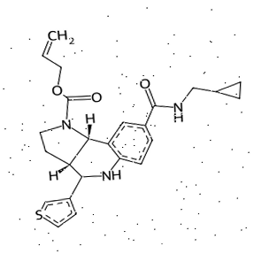 C=CCOC(=O)N1CC[C@H]2C(c3ccsc3)Nc3ccc(C(=O)NCC4CC4)cc3[C@H]21